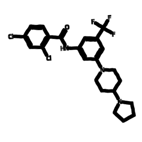 O=C(Nc1cc(N2CCC(N3CCCC3)CC2)cc(C(F)(F)F)c1)c1ccc(Cl)cc1Cl